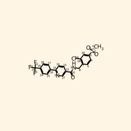 CS(=O)(=O)c1ccc(CNC(=O)c2ccc(-c3ccc(C(F)(F)F)cc3)nc2)c(Cl)c1